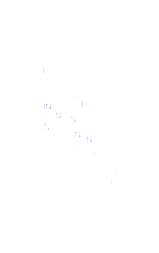 Br.COC(=O)C1=C(CN2CCN3C(=O)N(c4ccc(CCC(=O)O)cc4F)CC3C2)N=C(c2nccs2)NC1c1ccc(F)cc1Cl